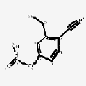 N#Cc1ccc(O[PH](=O)O)cc1CF